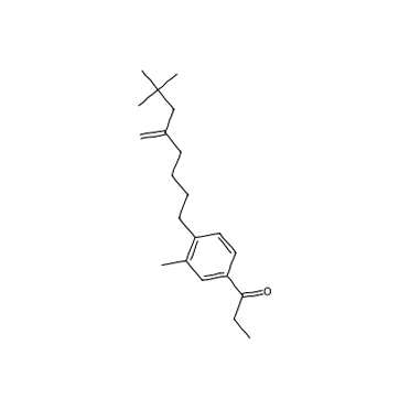 C=C(CCCCc1ccc(C(=O)CC)cc1C)CC(C)(C)C